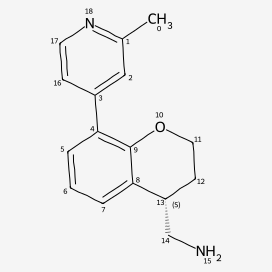 Cc1cc(-c2cccc3c2OCC[C@@H]3CN)ccn1